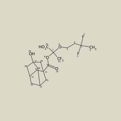 CC(F)(F)CCOC(OC(=O)C12CC3CC(CC(O)(C3)C1)C2)(C(=O)O)C(F)(F)F